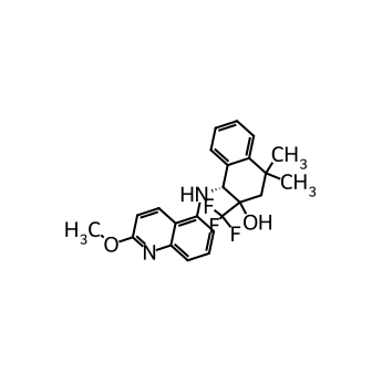 COc1ccc2c(N[C@@H]3c4ccccc4C(C)(C)CC3(O)C(F)(F)F)cccc2n1